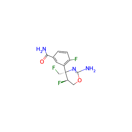 NC(=O)c1ccc(F)c([C@@]2(CF)N=C(N)OC[C@H]2F)c1